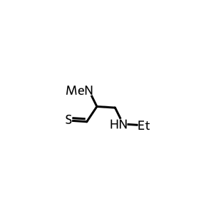 CCNCC(C=S)NC